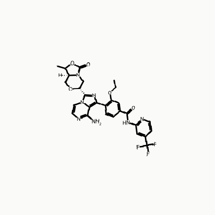 CCOc1cc(C(=O)Nc2cc(C(F)(F)F)ccn2)ccc1-c1nc([C@H]2CN3C(=O)OC(C)[C@@H]3CO2)n2ccnc(N)c12